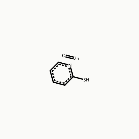 Sc1ccccn1.[O]=[Zn]